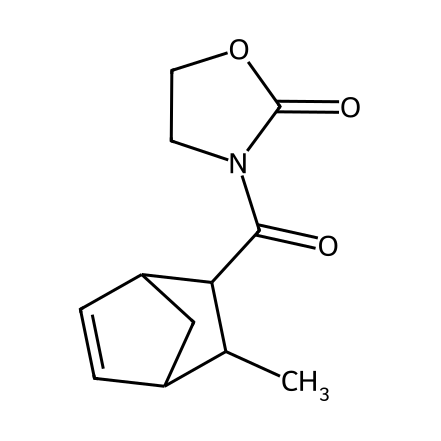 CC1C2C=CC(C2)C1C(=O)N1CCOC1=O